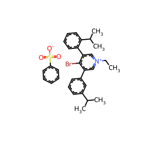 CC[n+]1cc(-c2cccc(C(C)C)c2)c(Br)c(-c2ccccc2C(C)C)c1.O=S(=O)([O-])c1ccccc1